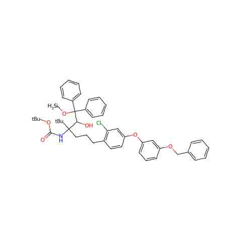 CC(C)(C)OC(=O)NC(CCCc1ccc(Oc2cccc(OCc3ccccc3)c2)cc1Cl)(C(O)C(O[SiH3])(c1ccccc1)c1ccccc1)C(C)(C)C